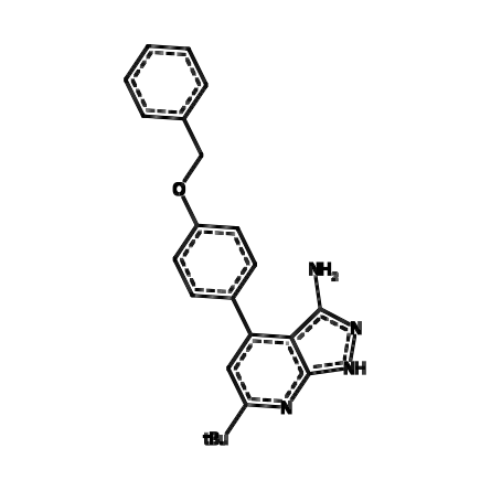 CC(C)(C)c1cc(-c2ccc(OCc3ccccc3)cc2)c2c(N)n[nH]c2n1